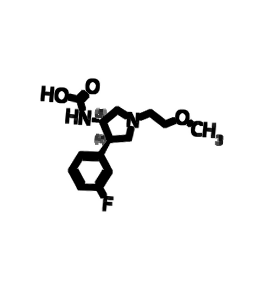 COCCN1C[C@@H](NC(=O)O)[C@H](c2cccc(F)c2)C1